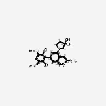 CCc1c(OC)cc(OC)c(Cl)c1-c1cc2cnc(N)cc2c(N2CCC(C)(C#N)C2)n1